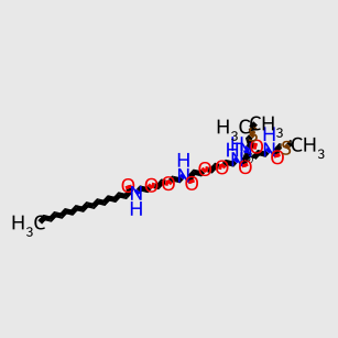 CCCCCCCCCCCCCCCCCC(=O)NCCOCCOCCNC(=O)CCOCCOCCNC(=O)[C@H](CCCNC(=O)CSCC)NC(=O)CSC(C)C